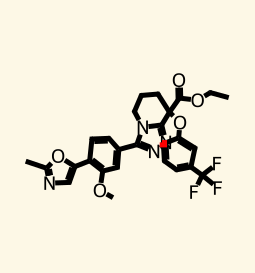 CCOC(=O)C1(Oc2cccc(C(F)(F)F)c2)CCCn2c(-c3ccc(-c4cnc(C)o4)c(OC)c3)nnc21